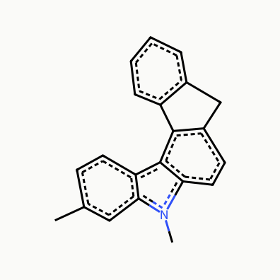 Cc1ccc2c3c4c(ccc3n(C)c2c1)Cc1ccccc1-4